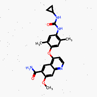 COc1cc2nccc(Oc3cc(C)c(NC(=O)NC4CC4)cc3C)c2cc1C(N)=O